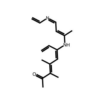 C=C/N=C\C=C(/C)N/C(C=C)=C/C(C)=C(\C)C(C)=O